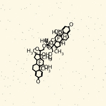 C[C@@H]1CC2C3CCC4=CC(=O)C=C[C@]4(C)[C@@]3(F)[C@@H](O)C[C@]2(C)[C@@]1(O)C(=O)COP(=O)(O)O[C@]1(C(=O)CO)[C@H](C)C[C@H]2[C@@H]3CCC4=CC(=O)C=C[C@]4(C)[C@@]3(F)[C@@H](O)C[C@@]21C